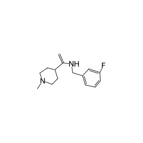 C=C(NCc1cccc(F)c1)C1CCN(C)CC1